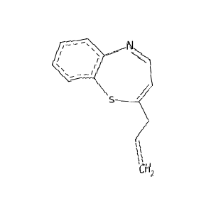 C=CCC1=CC=Nc2ccccc2S1